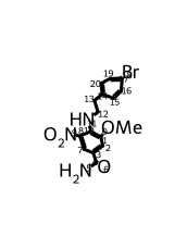 COc1cc(C(N)=O)cc([N+](=O)[O-])c1NCCc1ccc(Br)cc1